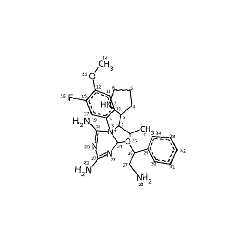 CCC(C1CCCN1)[N+]1(c2ccc(OC)c(F)c2)C(N)=NC(N)=NC1OC(CN)c1ccccc1